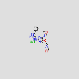 Cl.c1ccc(-c2cc(Nc3nc(N4CCOCC4)c4oc(CN5CCOCC5)cc4n3)[nH]n2)cc1